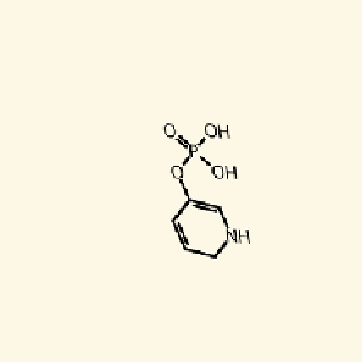 O=P(O)(O)OC1=CNCC=C1